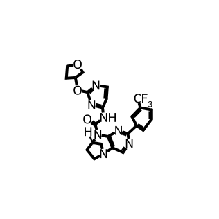 O=C(Nc1ccnc(OC2CCOC2)n1)N1c2nc(-c3cccc(C(F)(F)F)c3)ncc2N2CC[C@H]1C2